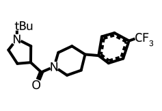 CC(C)(C)N1CCC(C(=O)N2CCC(c3ccc(C(F)(F)F)cc3)CC2)C1